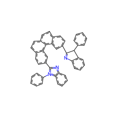 c1ccc(C2C(c3ccc4ccc5ccc6ccc(-c7nc8ccccc8n7-c7ccccc7)cc6c5c4c3)=Nc3ccccc32)cc1